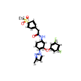 CCS(=O)(=O)c1ccc(CC(=O)Nc2ccc(-n3ccc(C)n3)c(Oc3cc(F)cc(F)c3)c2)cc1